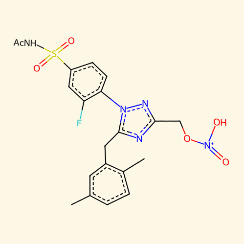 CC(=O)NS(=O)(=O)c1ccc(-n2nc(CO[N+](=O)O)nc2Cc2cc(C)ccc2C)c(F)c1